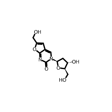 O=c1nc2oc(CO)cc2cn1[C@H]1C[C@H](O)[C@@H](CO)O1